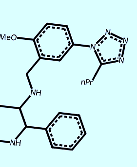 CCCc1nnnn1-c1ccc(OC)c(CNC2CCCNC2c2ccccc2)c1